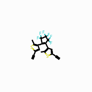 C#Cc1cc(C2=C(c3cc(C#C)sc3C)C(F)(F)C(F)(F)C2(F)F)c(C)s1